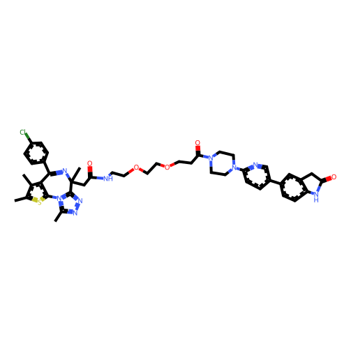 Cc1sc2c(c1C)C(c1ccc(Cl)cc1)=NC(C)(CC(=O)NCCOCCOCCC(=O)N1CCN(c3ccc(-c4ccc5c(c4)CC(=O)N5)cn3)CC1)c1nnc(C)n1-2